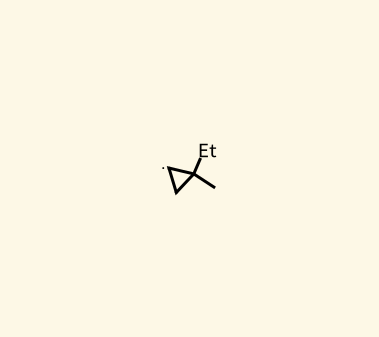 CCC1(C)[CH]C1